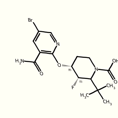 CC(C)(C)C1[C@H](F)[C@H](Oc2ncc(Br)cc2C(N)=O)CCN1C(=O)O